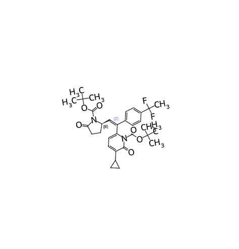 CC(C)(C)OC(=O)N1C(=O)CC[C@@H]1/C=C(/c1ccc(C(C)(F)F)cc1)c1ccc(C2CC2)c(=O)n1C(=O)OC(C)(C)C